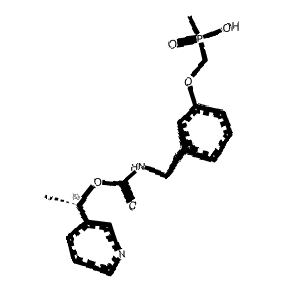 C[C@H](OC(=O)NCc1cccc(OCP(C)(=O)O)c1)c1cccnc1